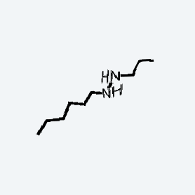 CCCCCCNNCCC